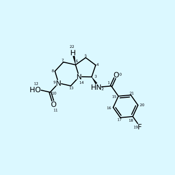 O=C(N[C@@H]1CC[C@H]2CCN(C(=O)O)CN21)c1ccc(F)cc1